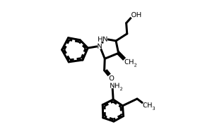 C=C1C(CCO)NN(c2ccccc2)C1C=O.CCc1ccccc1N